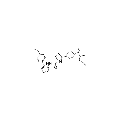 C#CCN(C)C(=S)N1CCC(c2nc(C(=O)Nc3ccccc3-c3ccc(CC)cc3)cs2)CC1